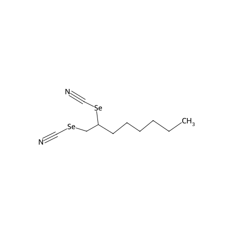 CCCCCCC(C[Se]C#N)[Se]C#N